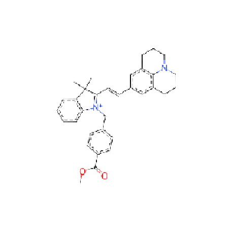 COC(=O)c1ccc(C[N+]2=C(/C=C/c3cc4c5c(c3)CCCN5CCC4)C(C)(C)c3ccccc32)cc1